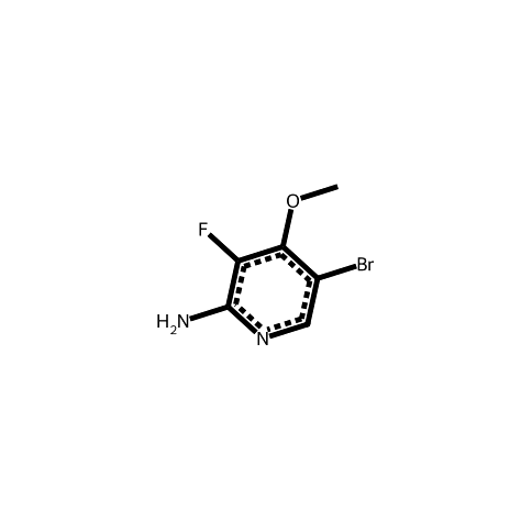 COc1c(Br)cnc(N)c1F